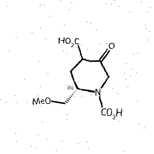 COC[C@@H]1CC(C(=O)O)C(=O)CN1C(=O)O